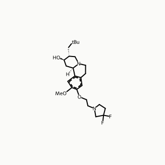 COc1cc2c(cc1OCCN1CCC(F)(F)C1)CCN1C[C@@H](CC(C)(C)C)[C@H](O)C[C@H]21